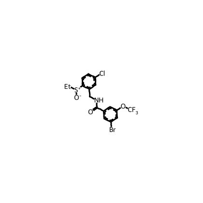 CC[S+]([O-])c1ccc(Cl)cc1CNC(=O)c1cc(Br)cc(OC(F)(F)F)c1